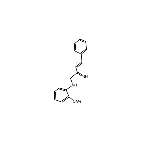 COc1ccccc1NCC(=N)/C=C/c1ccccc1